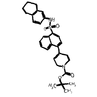 CC(C)(C)OC(=O)N1CC=C(c2ccc(S(=O)(=O)Nc3ccc4c(c3)CCCC4)c3ccccc23)CC1